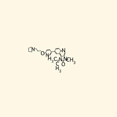 CC(C)n1c(=O)n(C)c2cnc3ccc(-c4ccc(OCCCN5CCCC5)nc4)cc3c21